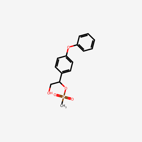 CS(=O)(=O)OC(CO)c1ccc(Oc2ccccc2)cc1